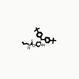 C=CCNC(=S)O[C@H]1CN[C@@H](C(c2ccc(C(C)(C)C)cc2)c2ccc(C(C)(C)C)cc2)C1